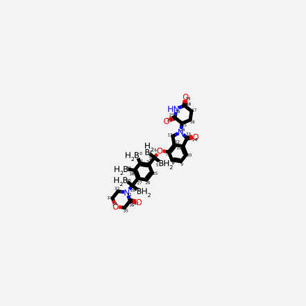 Bc1c(C(B)(B)Oc2cccc3c2CN(C2CCC(=O)NC2=O)C3=O)ccc(C(B)(B)N2CCOCC2=O)c1B